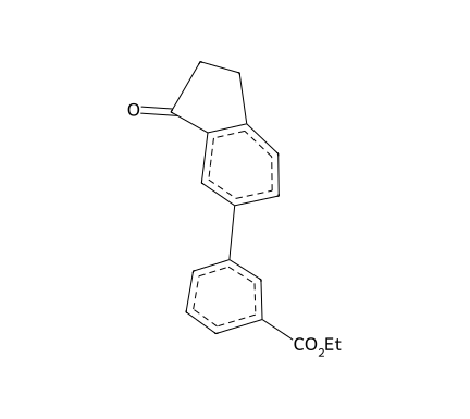 CCOC(=O)c1cccc(-c2ccc3c(c2)C(=O)CC3)c1